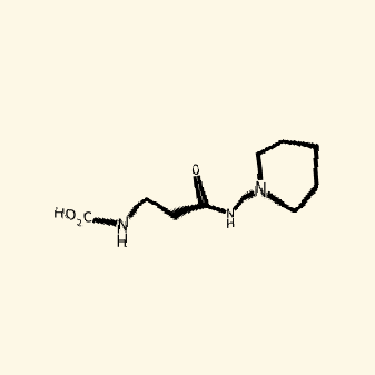 O=C(O)NCCC(=O)NN1CCCCC1